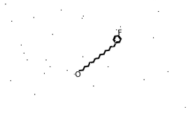 [O]CCCCCCCCCCCCCCc1ccc(F)cc1